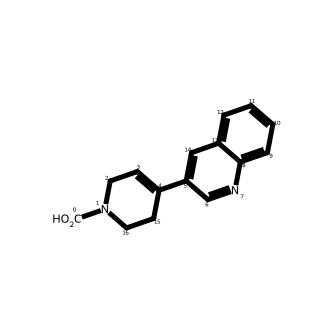 O=C(O)N1CC=C(c2cnc3ccccc3c2)CC1